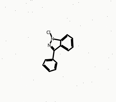 Cln1nc(-c2ccccc2)c2ccccc21